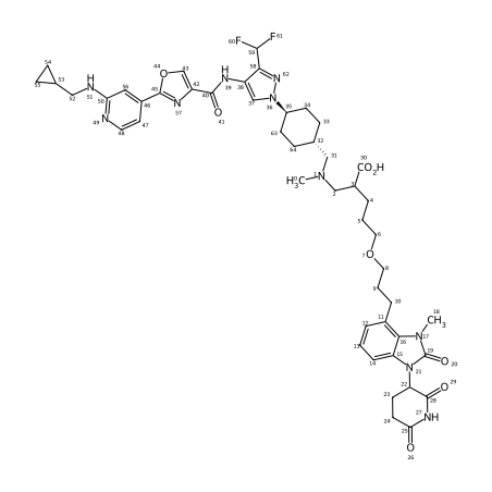 CN(CC(CCCOCCCc1cccc2c1n(C)c(=O)n2C1CCC(=O)NC1=O)C(=O)O)C[C@H]1CC[C@H](n2cc(NC(=O)c3coc(-c4ccnc(NCC5CC5)c4)n3)c(C(F)F)n2)CC1